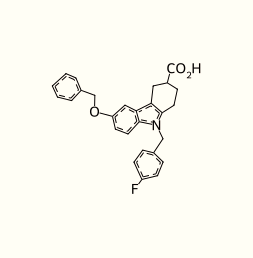 O=C(O)C1CCc2c(c3cc(OCc4ccccc4)ccc3n2Cc2ccc(F)cc2)C1